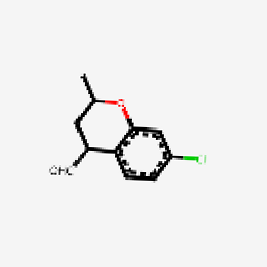 CC1CC(C=O)c2ccc(Cl)cc2O1